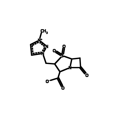 C[n+]1ccn(CC2C(C(=O)[O-])N3C(=O)CC3S2(=O)=O)n1